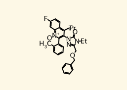 CCn1c(COCc2ccccc2)nn(-c2c(C(C)C)c3ccc(F)cc3[n+]([O-])c2-c2ccccc2C)c1=O